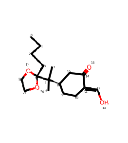 CCCCC1(C(C)(C)[C@@H]2CC/C(=C\O)C(=O)C2)OCCO1